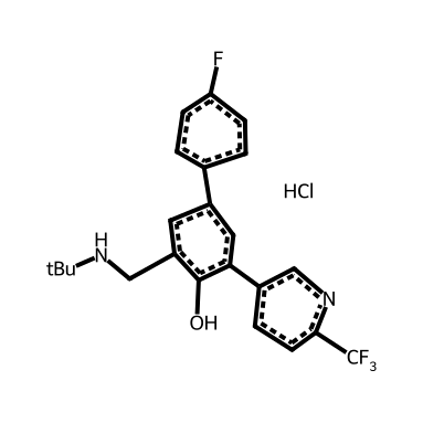 CC(C)(C)NCc1cc(-c2ccc(F)cc2)cc(-c2ccc(C(F)(F)F)nc2)c1O.Cl